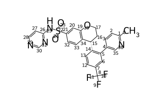 Cc1ccc(-c2cc(C(F)(F)F)ccc2[C@H]2CCOc3cc(S(=O)(=O)Nc4ccncn4)ccc32)cn1